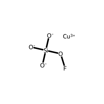 [Cu+3].[O-][Si]([O-])([O-])OF